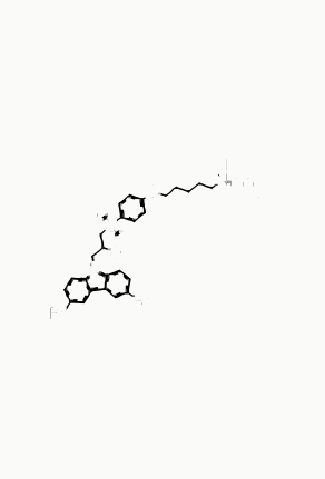 O=C(O)NCCCCCOc1ccc(S(=O)(=O)CC(O)Cn2c3ccc(Br)cc3c3cc(Br)ccc32)cc1